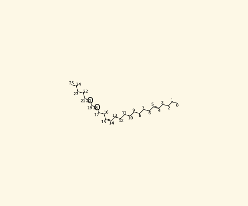 CCCC/C=C/CCCCCCCC/C=C\CCOCOCCCCC